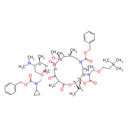 CC[C@H]1OC(=O)C(C)C(=O)[C@H](C)[C@@H](O[C@@H]2O[C@H](CN(C(=O)OCc3ccccc3)C3CC3)CC(N(C)C)[C@H]2C)[C@](C)(OC)C[C@@H](C)CN(C(=O)OCc2ccccc2)[C@H](C)[C@H]2N(COCC[Si](C)(C)C)C(=O)O[C@]12C